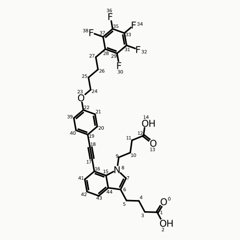 O=C(O)CCCc1cn(CCCC(=O)O)c2c(C#Cc3ccc(OCCCCc4c(F)c(F)c(F)c(F)c4F)cc3)cccc12